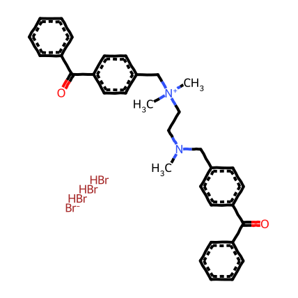 Br.Br.Br.CN(CC[N+](C)(C)Cc1ccc(C(=O)c2ccccc2)cc1)Cc1ccc(C(=O)c2ccccc2)cc1.[Br-]